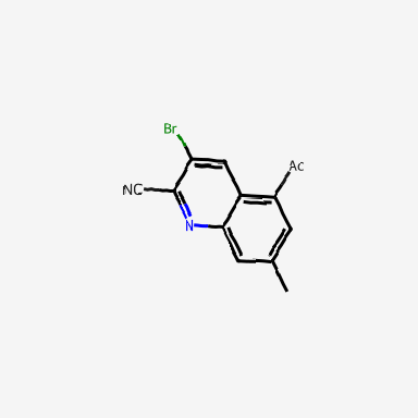 CC(=O)c1cc(C)cc2nc(C#N)c(Br)cc12